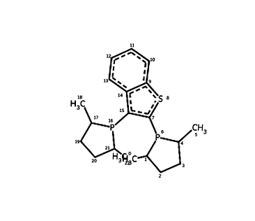 CC1CCC(C)P1c1sc2ccccc2c1P1C(C)CCC1C